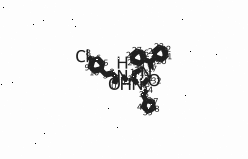 O=C(/C=C/c1ccc(Cl)cc1)NC[C@@H]1CCN(CC(c2ccccc2)c2ccccc2)C(=O)[C@H](CCC2CCCC2)N1